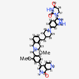 COc1cc(-c2cn(C)c(=O)c3cnccc23)cc(OC)c1CN1CCc2c(CC3CCN(c4ccc5c(N6CCC(=O)NC6=O)n[nH]c5c4)CC3)cccc2C1